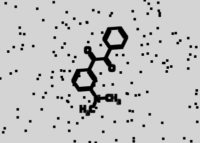 CN(C)c1cccc(C(=O)C(=O)c2ccccc2)c1